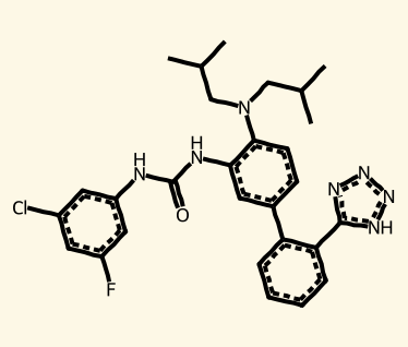 CC(C)CN(CC(C)C)c1ccc(-c2ccccc2-c2nnn[nH]2)cc1NC(=O)Nc1cc(F)cc(Cl)c1